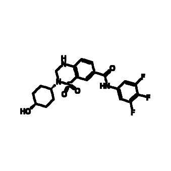 O=C(Nc1cc(F)c(F)c(F)c1)c1ccc2c(c1)S(=O)(=O)N([C@H]1CC[C@H](O)CC1)CN2